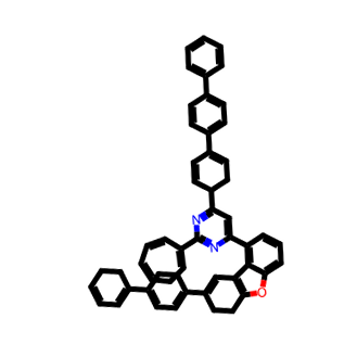 C1=CCC=C(c2nc(-c3cccc4oc5c(c34)C=C(C3=CC=C(C4=CC=CCC4)CC3)CC5)cc(C3C=CC(c4ccc(-c5ccccc5)cc4)=CC3)n2)C=C1